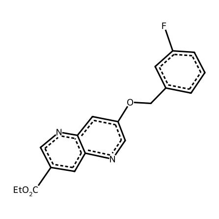 CCOC(=O)c1cnc2cc(OCc3cccc(F)c3)cnc2c1